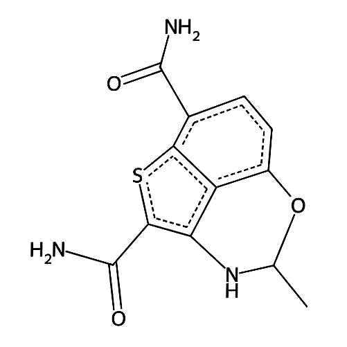 CC1Nc2c(C(N)=O)sc3c(C(N)=O)ccc(c23)O1